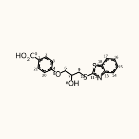 O=C(O)c1ccc(OCC(O)CSc2nc3ccccc3s2)cc1